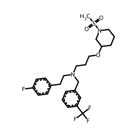 CS(=O)(=O)N1CCCC(OCCCN(CCc2ccc(F)cc2)Cc2cccc(C(F)(F)F)c2)C1